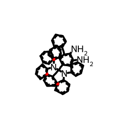 Nc1cc(C(c2ccccc2)(N(c2ccccc2)c2ccccc2)N(c2ccccc2)c2ccccc2)c(-c2ccccc2)c(-c2ccccc2)c1N